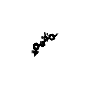 Cc1[nH]c(-c2ccc(-c3cccc(C(F)(F)F)c3)o2)nc1C1=CC=C(F)CC1